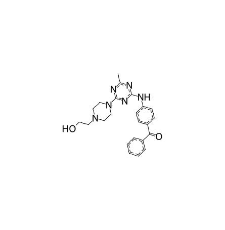 Cc1nc(Nc2ccc(C(=O)c3ccccc3)cc2)nc(N2CCN(CCO)CC2)n1